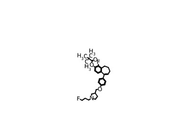 CC(C)(C)C(=O)Oc1ccc2c(c1F)CCCC=C2c1ccc(OCC2CCN(CCCF)C2)cc1